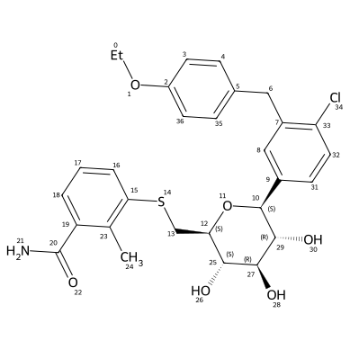 CCOc1ccc(Cc2cc([C@@H]3O[C@H](CSc4cccc(C(N)=O)c4C)[C@@H](O)[C@H](O)[C@H]3O)ccc2Cl)cc1